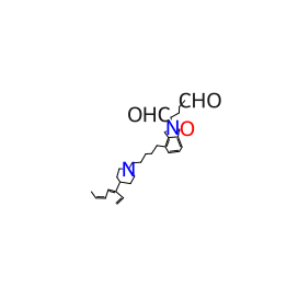 C=C/C(=C\C=C/C)C1CCN(CCCCCc2cccc3c2CN(C(C=O)CCC=O)C3=O)CC1